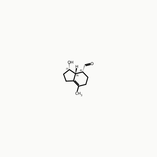 CC1=C2CC[C@H](O)[C@@H]2[C@H](C=O)CC1